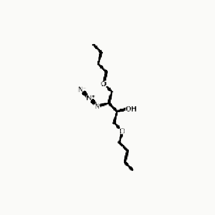 CCCCOCC(O)C(COCCCC)N=[N+]=[N-]